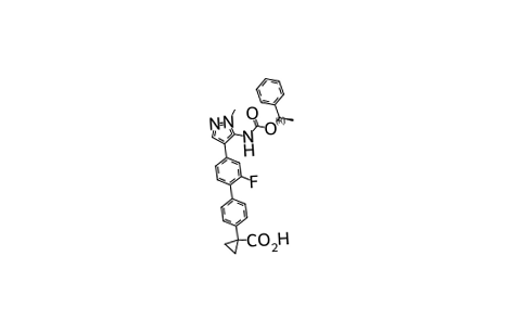 C[C@@H](OC(=O)Nc1c(-c2ccc(-c3ccc(C4(C(=O)O)CC4)cc3)c(F)c2)cnn1C)c1ccccc1